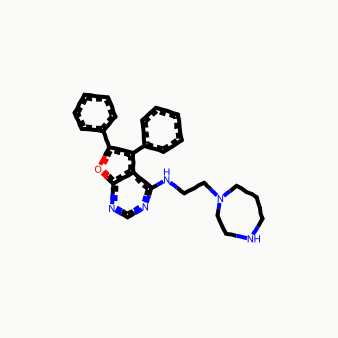 c1ccc(-c2oc3ncnc(NCCN4CCCNCC4)c3c2-c2ccccc2)cc1